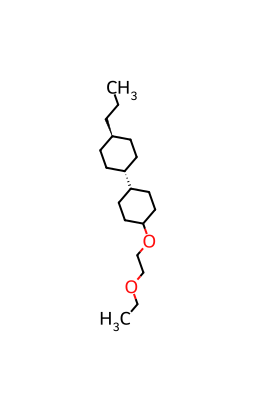 CCC[C@H]1CC[C@H](C2CCC(OCCOCC)CC2)CC1